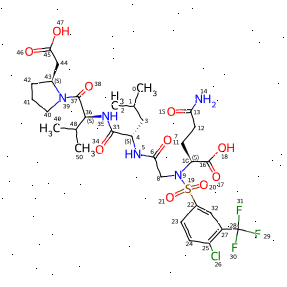 CC(C)C[C@H](NC(=O)CN([C@@H](CCC(N)=O)C(=O)O)S(=O)(=O)c1ccc(Cl)c(C(F)(F)F)c1)C(=O)N[C@H](C(=O)N1CCC[C@H]1CC(=O)O)C(C)C